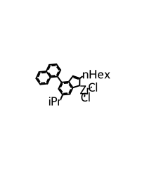 CCCCCCC1=Cc2c(-c3cccc4ccccc34)cc(C(C)C)cc2[CH]1[Zr]([Cl])[Cl]